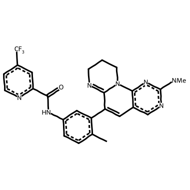 CNc1ncc2c(n1)N1CCCN=C1C(c1cc(NC(=O)c3cc(C(F)(F)F)ccn3)ccc1C)=C2